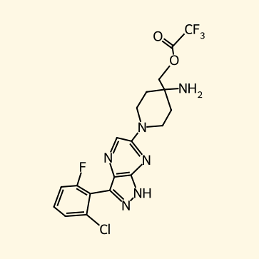 NC1(COC(=O)C(F)(F)F)CCN(c2cnc3c(-c4c(F)cccc4Cl)n[nH]c3n2)CC1